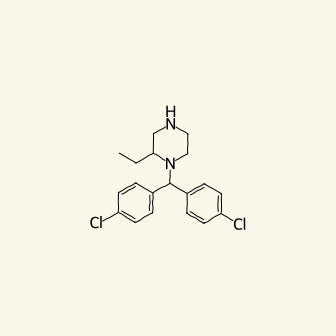 CCC1CNCCN1C(c1ccc(Cl)cc1)c1ccc(Cl)cc1